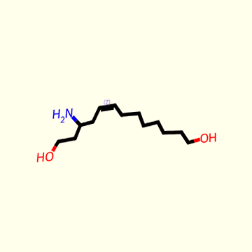 NC(C/C=C\CCCCCCCO)CCO